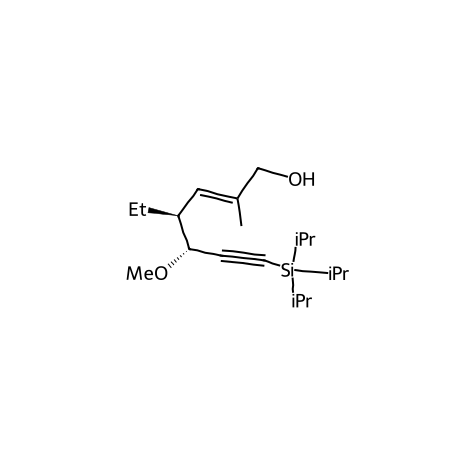 CC[C@@H](/C=C(\C)CO)[C@H](C#C[Si](C(C)C)(C(C)C)C(C)C)OC